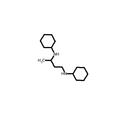 CC(CCNC1CCCCC1)NC1CCCCC1